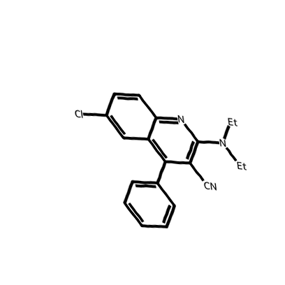 CCN(CC)c1nc2ccc(Cl)cc2c(-c2ccccc2)c1C#N